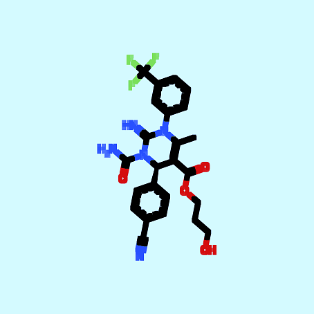 CC1=C(C(=O)OCCCO)[C@@H](c2ccc(C#N)cc2)N(C(N)=O)C(=N)N1c1cccc(C(F)(F)F)c1